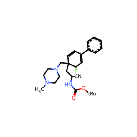 CN1CCN(CC2(CC(C#N)NC(=O)OC(C)(C)C)C=CC(c3ccccc3)=CC2F)CC1